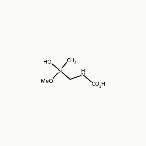 CO[Si](C)(O)CNC(=O)O